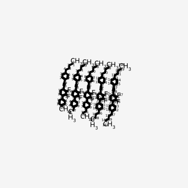 CCCCCc1ccc(C#Cc2ccc(-c3ccc(C)cc3)c(F)c2F)cc1.CCCCCc1ccc(C#Cc2ccc(-c3ccc(CC)cc3)c(F)c2F)cc1.CCCCCc1ccc(C#Cc2ccc(-c3ccc(CCC)cc3)c(F)c2F)cc1.CCCCCc1ccc(C#Cc2ccc(-c3ccc(CCCC)cc3)c(F)c2F)cc1.CCCCCc1ccc(C#Cc2ccc(-c3ccc(CCCCC)cc3)c(F)c2F)cc1